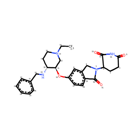 O=C1CCC(N2Cc3cc(O[C@@H]4CN(CC(F)(F)F)CC[C@H]4NCc4ccccc4)ccc3C2=O)C(=O)N1